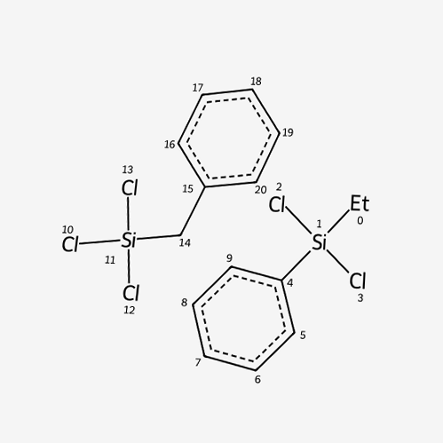 CC[Si](Cl)(Cl)c1ccccc1.Cl[Si](Cl)(Cl)Cc1ccccc1